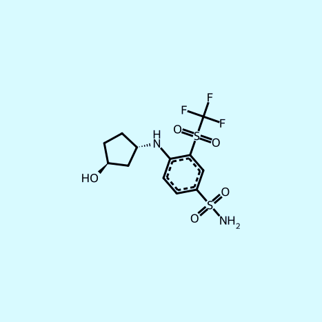 NS(=O)(=O)c1ccc(N[C@H]2CC[C@H](O)C2)c(S(=O)(=O)C(F)(F)F)c1